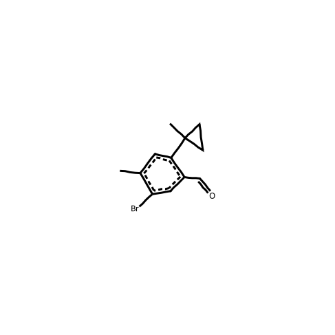 Cc1cc(C2(C)CC2)c(C=O)cc1Br